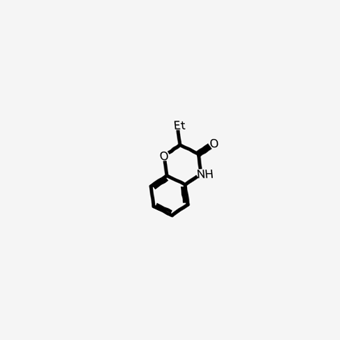 CCC1Oc2ccccc2NC1=O